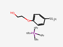 CCC[PH](CCC)(CCC)CCC.O=S(=O)(O)c1ccc(OCCO)cc1